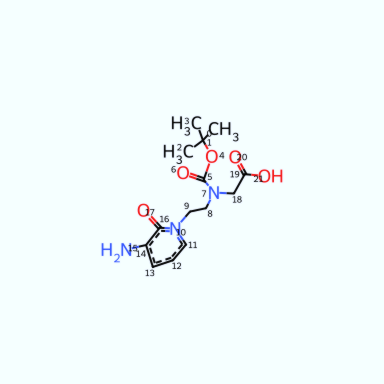 CC(C)(C)OC(=O)N(CCn1cccc(N)c1=O)CC(=O)O